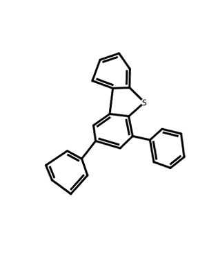 c1ccc(-c2cc(-c3ccccc3)c3sc4ccccc4c3c2)cc1